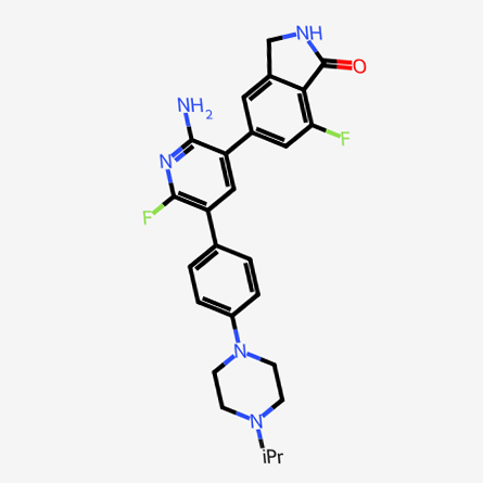 CC(C)N1CCN(c2ccc(-c3cc(-c4cc(F)c5c(c4)CNC5=O)c(N)nc3F)cc2)CC1